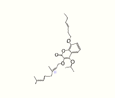 CCC=CCCOc1cccc2c(OC(C)C)c(OC/C=C(\C)CCC=C(C)C)c(=O)oc12